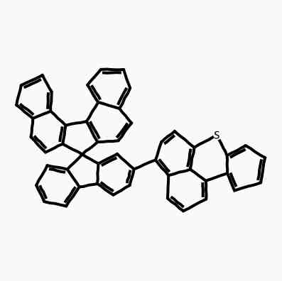 c1ccc2c(c1)Sc1ccc(-c3ccc4c(c3)C3(c5ccccc5-4)c4ccc5ccccc5c4-c4c3ccc3ccccc43)c3cccc-2c13